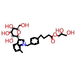 Cc1cccc2c([C@@H]3O[C@H](CO)[C@@H](O)[C@H](O)[C@H]3O)cn(Cc3ccc(CCCC(=O)OC[C@@H](O)CO)cc3)c12